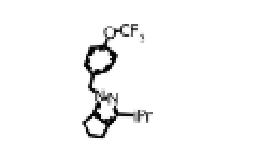 CC(C)c1nn(Cc2ccc(OC(F)(F)F)cc2)c2c1CCC2